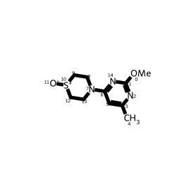 COc1nc(C)cc(N2CC[S+]([O-])CC2)n1